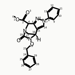 COC(=O)C1c2nn(-c3ccccc3)cc2[C@H]2CN1C(=O)N2OCc1ccccc1